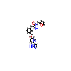 O=C(CCc1cccc(COc2ccc(-c3ccn[nH]3)nc2)c1)NC[C@@H]1CCCO1